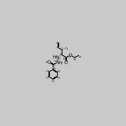 C=C[C@H](C)[C@@H](NNC(=O)c1ccccc1)C(=O)OCC